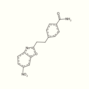 NC(=O)c1ccc(CCc2nc3ccc([N+](=O)[O-])cc3o2)cc1